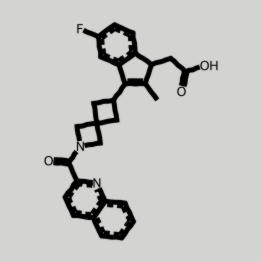 CC1=C(C2CC3(C2)CN(C(=O)c2ccc4ccccc4n2)C3)c2cc(F)ccc2C1CC(=O)O